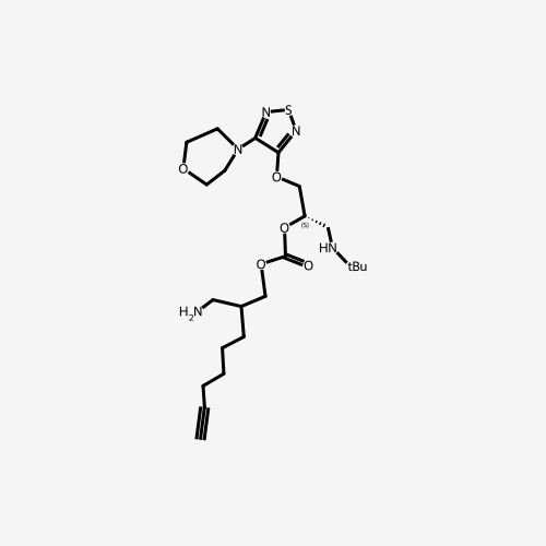 C#CCCCCC(CN)COC(=O)O[C@@H](CNC(C)(C)C)COc1nsnc1N1CCOCC1